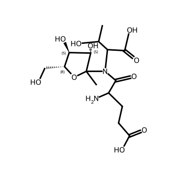 CC(O)C(C(=O)O)N(C(=O)C(N)CCC(=O)O)C1(C)O[C@H](CO)[C@@H](O)[C@@H]1O